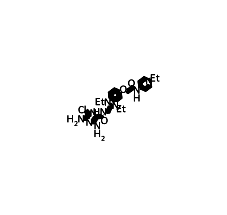 CCN1CCC(NC(=O)COc2ccc3c(c2)n(CC)c(CNC(=O)c2nc(Cl)c(N)nc2N)[n+]3CC)CC1